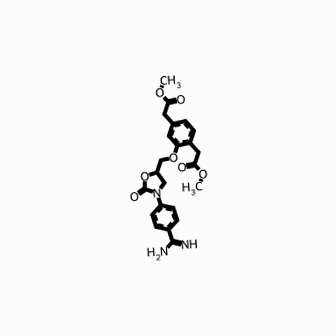 COC(=O)Cc1ccc(CC(=O)OC)c(OCC2CN(c3ccc(C(=N)N)cc3)C(=O)O2)c1